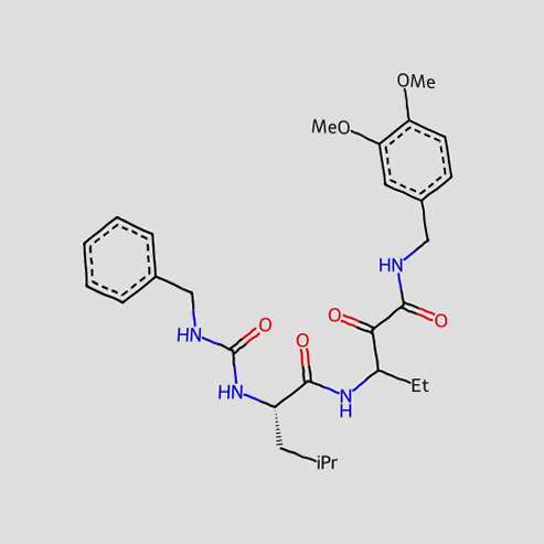 CCC(NC(=O)[C@H](CC(C)C)NC(=O)NCc1ccccc1)C(=O)C(=O)NCc1ccc(OC)c(OC)c1